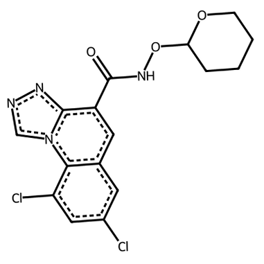 O=C(NOC1CCCCO1)c1cc2cc(Cl)cc(Cl)c2n2cnnc12